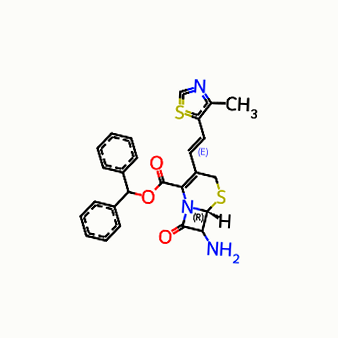 Cc1ncsc1/C=C/C1=C(C(=O)OC(c2ccccc2)c2ccccc2)N2C(=O)C(N)[C@H]2SC1